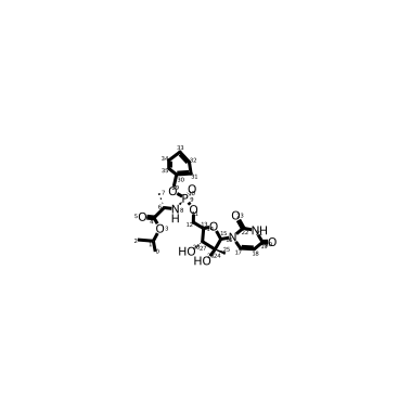 CC(C)OC(=O)[C@H](C)N[P@](=O)(OCC1OC(n2ccc(=O)[nH]c2=O)[C@](C)(O)[C@@H]1O)Oc1ccccc1